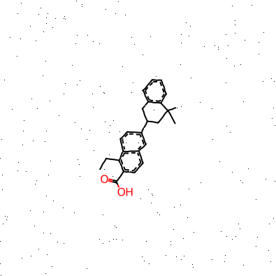 CCc1c(C(=O)O)ccc2cc(C3Cc4ccccc4C(C)(C)C3)ccc12